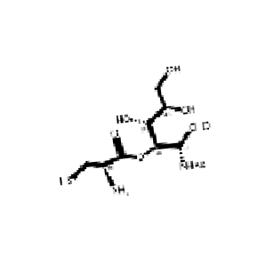 CC(=O)N[C@@H](C=O)[C@@H](OC(=O)[C@@H](N)CS)[C@H](O)[C@H](O)CO